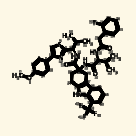 COc1ccc(-c2csc([C@@H](NC(=O)[C@@]3(NC(=O)[C@@H](NC(=O)Cc4ccccc4F)C(C)C)CCc4[nH]c5c(C(F)(F)F)cccc5c4C3)C(C)C)n2)cc1